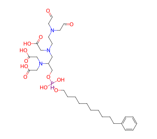 O=CCN(CC=O)CCN(CC(=O)O)CC(CO[PH](O)(O)OCCCCCCCCCCc1ccccc1)N(CC(=O)O)CC(=O)O